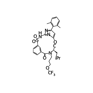 Cc1cccc(C)c1-c1cc2nc(n1)NS(=O)(=O)c1cccc(c1)C(=O)N(CCCOC(F)(F)F)[C@H](CC(C)C)CO2